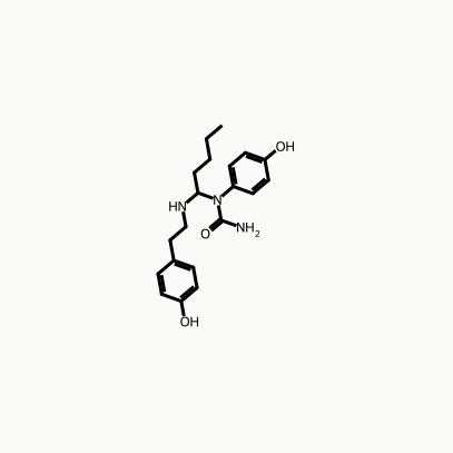 CCCCC(NCCc1ccc(O)cc1)N(C(N)=O)c1ccc(O)cc1